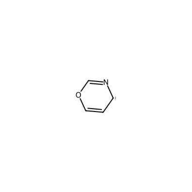 [C]1C=COC=N1